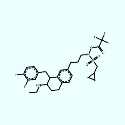 CCNC1CCc2ccc(CCCN(OC(=O)C(F)(F)F)S(=O)(=O)CC3CC3)cc2C1Cc1ccc(F)c(F)c1